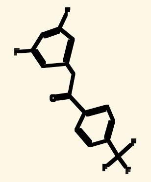 O=C(Cc1cc(F)cc(F)c1)c1ccc(C(F)(F)F)cc1